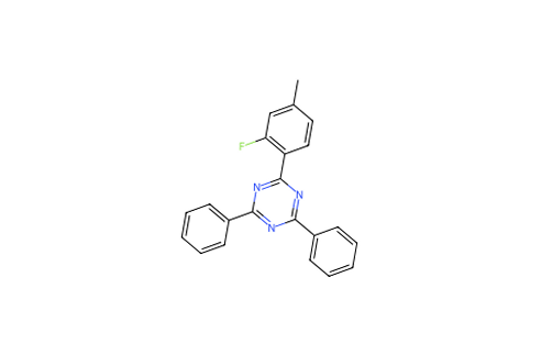 Cc1ccc(-c2nc(-c3ccccc3)nc(-c3ccccc3)n2)c(F)c1